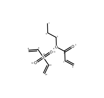 C=CC(=O)OCCC.C=CS(=O)(=O)C=C